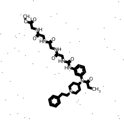 CCC(=O)N(c1cccc(NC(=O)NCC(=O)NCC(=O)NCC(=O)NCC(=O)OC)c1)C1CCN(CCc2ccccc2)CC1